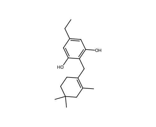 CCc1cc(O)c(CC2=C(C)CC(C)(C)CC2)c(O)c1